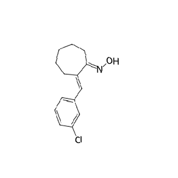 ON=C1CCCCCC1=Cc1cccc(Cl)c1